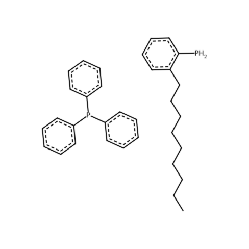 CCCCCCCCCc1ccccc1P.c1ccc(P(c2ccccc2)c2ccccc2)cc1